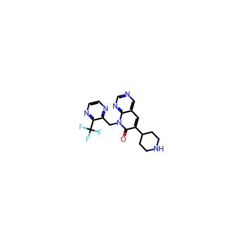 O=c1c(C2CCNCC2)cc2cncnc2n1Cc1nccnc1C(F)(F)F